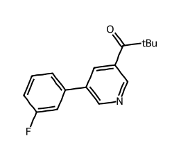 CC(C)(C)C(=O)c1cncc(-c2cccc(F)c2)c1